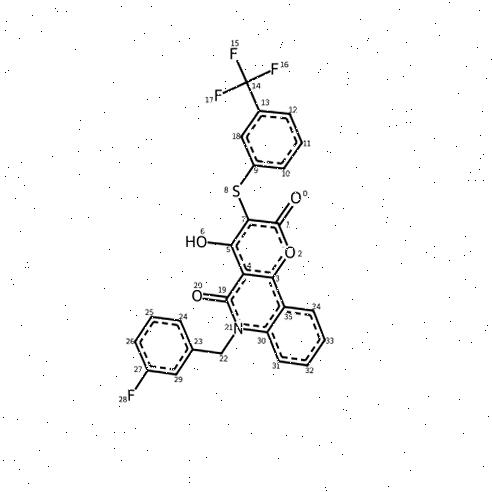 O=c1oc2c(c(O)c1Sc1cccc(C(F)(F)F)c1)c(=O)n(Cc1cccc(F)c1)c1ccccc21